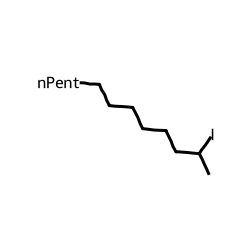 CCCCCCCCCCCC(C)I